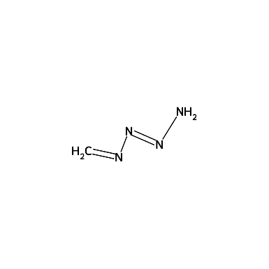 C=N/N=N/N